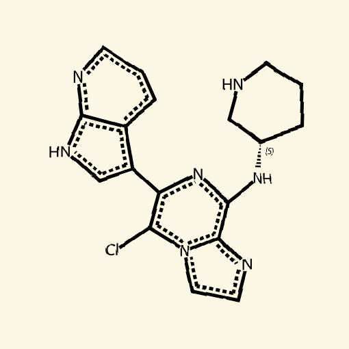 Clc1c(-c2c[nH]c3ncccc23)nc(N[C@H]2CCCNC2)c2nccn12